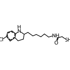 O=C(CS)NCCCCCCC1CCc2cc(Cl)ccc2N1